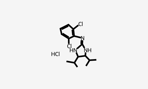 CC(C)C1NC(=Nc2c(Cl)cccc2Cl)NC1C(C)C.Cl